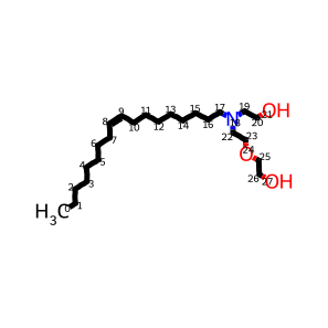 CCCCCCCC/C=C\CCCCCCCCN(CCO)CCOCCO